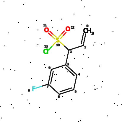 C=CC(c1cccc(F)c1)S(=O)(=O)Cl